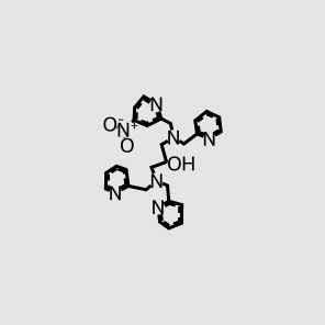 O=[N+]([O-])c1ccnc(CN(Cc2ccccn2)CC(O)CN(Cc2ccccn2)Cc2ccccn2)c1